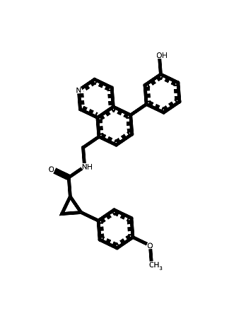 COc1ccc(C2CC2C(=O)NCc2ccc(-c3cccc(O)c3)c3ccncc23)cc1